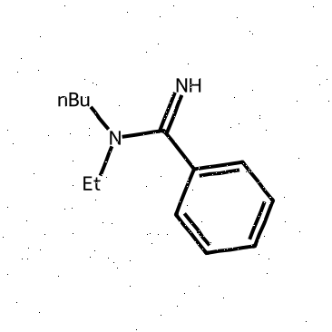 CCCCN(CC)C(=N)c1ccccc1